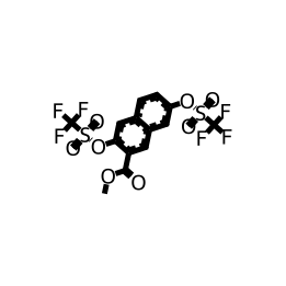 COC(=O)c1cc2cc(OS(=O)(=O)C(F)(F)F)ccc2cc1OS(=O)(=O)C(F)(F)F